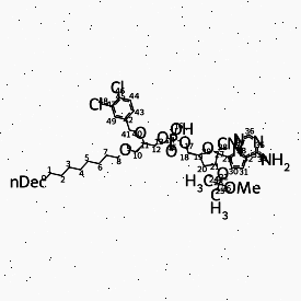 CCCCCCCCCCCCCCCCCCOC[C@H](COP(=O)(O)OC[C@@H]1C[C@@H](OC(C)(C)OC)[C@](C#N)(c2ccc3c(N)ncnn23)O1)OCc1ccc(Cl)c(Cl)c1